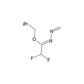 C=N/N=C(\OCC(C)C)C(F)F